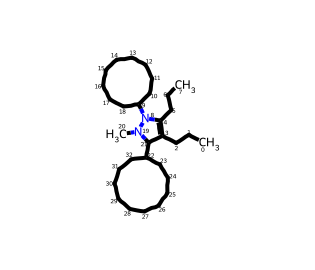 CCCC1=C(CCC)N(C2CCCCCCCCC2)N(C)C1C1CCCCCCCCCC1